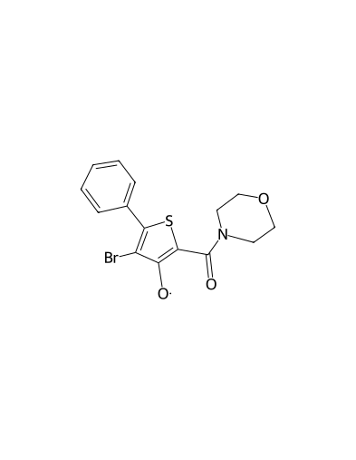 [O]c1c(C(=O)N2CCOCC2)sc(-c2ccccc2)c1Br